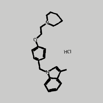 Cc1cn(Cc2ccc(OCCN3CCCCC3)cc2)c2ccccc12.Cl